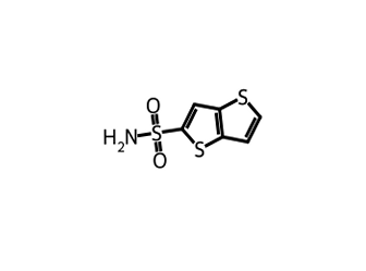 NS(=O)(=O)c1cc2sccc2s1